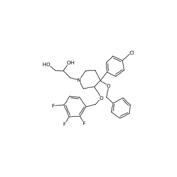 OCC(O)CN1CCC(OCc2ccccc2)(c2ccc(Cl)cc2)C(OCc2ccc(F)c(F)c2F)C1